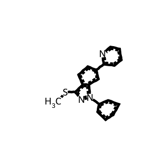 CSc1nn(-c2ccccc2)c2cc(-c3ccccn3)ccc12